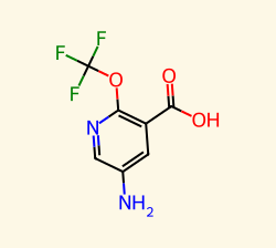 Nc1cnc(OC(F)(F)F)c(C(=O)O)c1